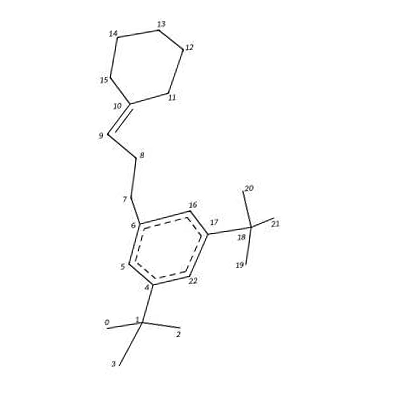 CC(C)(C)c1cc(CCC=C2CCCCC2)cc(C(C)(C)C)c1